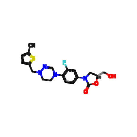 N#Cc1ccc(CN2CCN(c3ccc(N4C[C@H](CO)OC4=O)cc3F)C=N2)s1